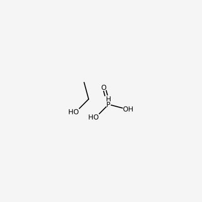 CCO.O=[PH](O)O